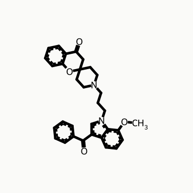 COc1cccc2c(C(=O)c3ccccc3)cn(CCCN3CCC4(CC3)CC(=O)c3ccccc3O4)c12